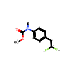 CN(C(=O)OC(C)(C)C)c1ccc(CC(F)F)cc1